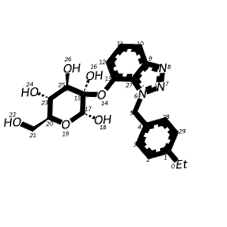 CCc1ccc(Cn2nnc3cccc(O[C@@]4(O)[C@H](O)O[C@@H](CO)[C@H](O)[C@H]4O)c32)cc1